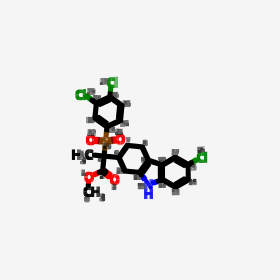 COC(=O)C(C)(C1CCc2c([nH]c3ccc(Cl)cc23)C1)S(=O)(=O)c1ccc(Cl)c(Cl)c1